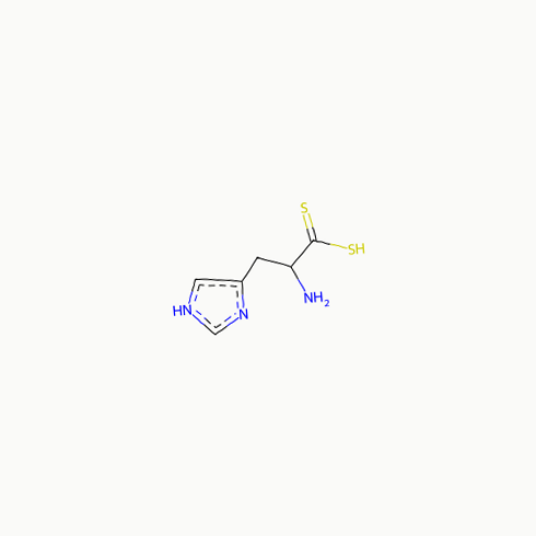 NC(Cc1c[nH]cn1)C(=S)S